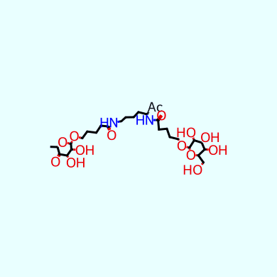 CC(=O)C(CCCCNC(=O)CCCCOC1OC(C)C(=O)C(O)C1O)NC(=O)CCCCOC1OC(CO)C(O)C(O)C1O